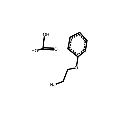 O=C(O)O.[Na][CH2]COc1ccccc1